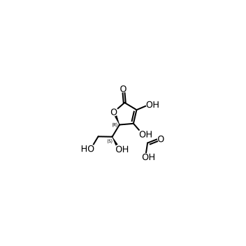 O=C1O[C@H]([C@@H](O)CO)C(O)=C1O.O=CO